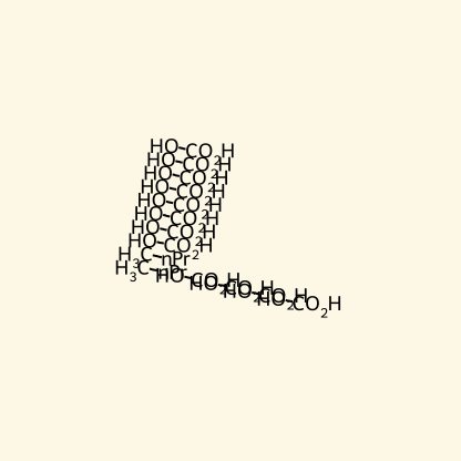 CCCC.CCCC.O=C(O)O.O=C(O)O.O=C(O)O.O=C(O)O.O=C(O)O.O=C(O)O.O=C(O)O.O=C(O)O.O=C(O)O.O=C(O)O.O=C(O)O.O=C(O)O